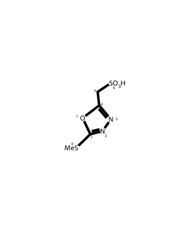 [CH2]Sc1nnc(CS(=O)(=O)O)o1